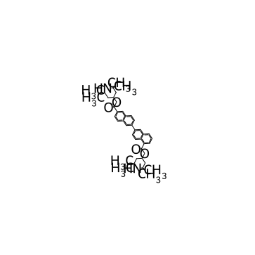 CC1(C)CC(OC(=O)c2ccc3cc(-c4ccc5c(C(=O)OC6CC(C)(C)NC(C)(C)C6)cccc5c4)ccc3c2)CC(C)(C)N1